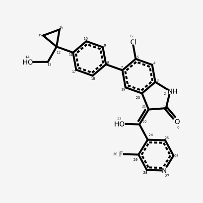 O=C1Nc2cc(Cl)c(-c3ccc(C4(CO)CC4)cc3)cc2C1=C(O)c1ccncc1F